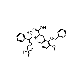 COc1ccc2c(c1OCc1ccccc1)CC(C(=O)O)N(C(O)C(OCC(F)(F)F)c1ccccc1)C2